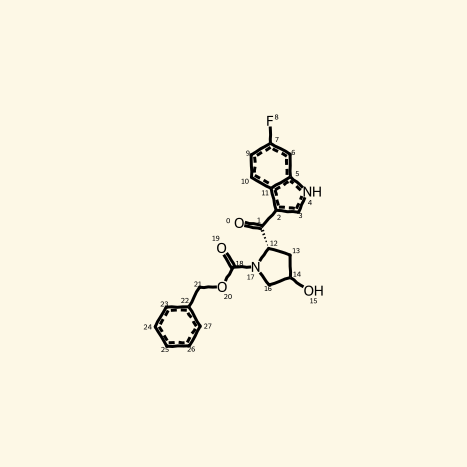 O=C(c1c[nH]c2cc(F)ccc12)[C@@H]1CC(O)CN1C(=O)OCc1ccccc1